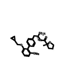 COc1cccc(OCC2CC2)c1-c1ccc(C[C@H](NC(=O)[C@@]2(C)CCCO2)C(=O)O)cc1